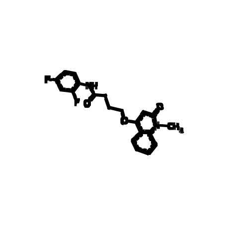 Cn1c(=O)cc(OCCCC(=O)Nc2ccc(F)cc2F)c2ccccc21